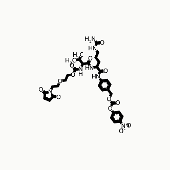 CC(C)C(NC(=O)OCCOCCN1C(=O)C=CC1=O)C(=O)NC(CCCNC(N)=O)C(=O)Nc1ccc(COC(=O)Oc2ccc([N+](=O)[O-])cc2)cc1